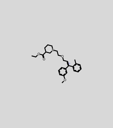 CCOC(=O)C1CCCN(CCOC/C=C(\c2cccc(OC)c2)c2ccccc2C)C1